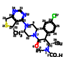 CC(C)N(C(=O)O)[C@H](C(C(=O)N1CCN(c2ncnc3c2[C@H](C)SC3)CC1)c1ccc(Cl)cc1)C(C)(C)C